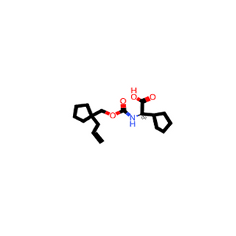 C=CCC1(COC(=O)N[C@H](C(=O)O)C2CCCC2)CCCC1